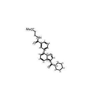 COCCNC(=O)c1cncc(-c2cccc3c(C(=O)N4CCCCC4)cnn23)c1